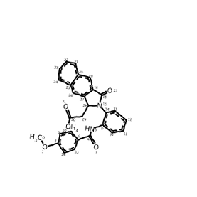 COc1ccc(C(=O)Nc2ccccc2N2C(=O)c3cc4ccccc4cc3C2CC(=O)O)cc1